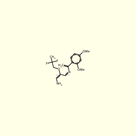 C=C(/N=C\C(=C/N)OCC(C)(F)F)c1ccc(OC)cc1OC